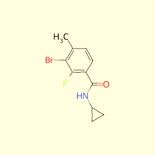 Cc1ccc(C(=O)NC2CC2)c(F)c1Br